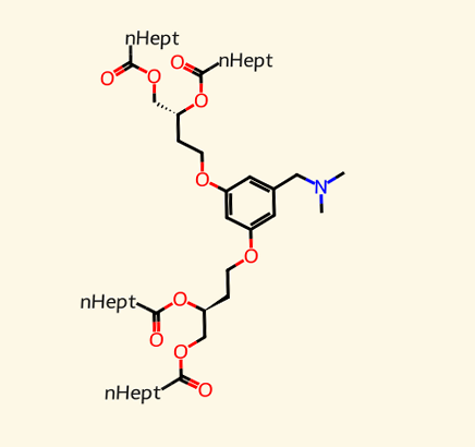 CCCCCCCC(=O)OC[C@@H](CCOc1cc(CN(C)C)cc(OCC[C@@H](COC(=O)CCCCCCC)OC(=O)CCCCCCC)c1)OC(=O)CCCCCCC